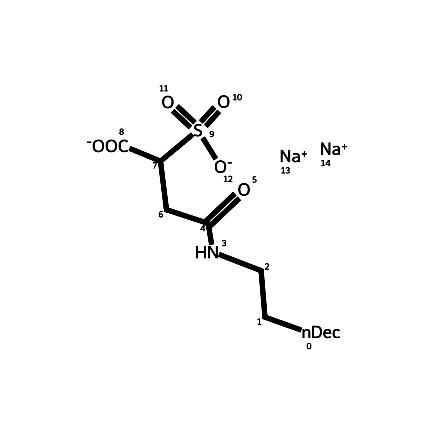 CCCCCCCCCCCCNC(=O)CC(C(=O)[O-])S(=O)(=O)[O-].[Na+].[Na+]